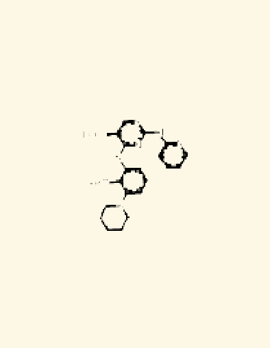 COc1c(Nc2nc(Nc3ccccn3)ncc2C(=O)O)cccc1N1CCCCC1